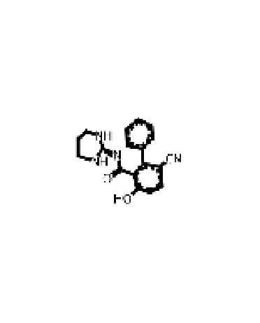 N#Cc1ccc(O)c(C(=O)N=C2NCCCN2)c1-c1ccccc1